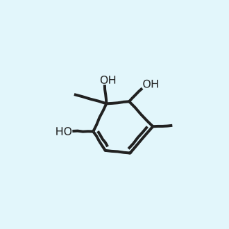 CC1=CC=C(O)C(C)(O)C1O